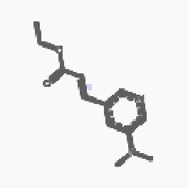 CCOC(=O)/C=C/c1cncc(N(C)C)c1